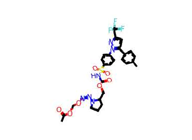 CC(=O)OCO/N=N\N1CCCC1COC(=O)NS(=O)(=O)c1ccc(-n2nc(C(F)(F)F)cc2-c2ccc(C)cc2)cc1